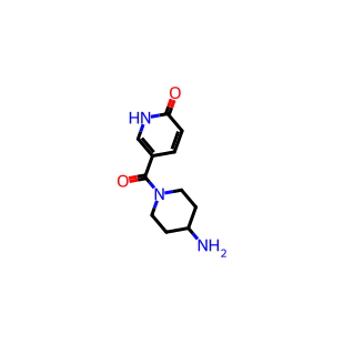 NC1CCN(C(=O)c2ccc(=O)[nH]c2)CC1